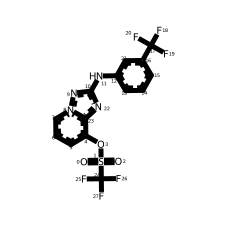 O=S(=O)(Oc1cccn2nc(Nc3cccc(C(F)(F)F)c3)nc12)C(F)(F)F